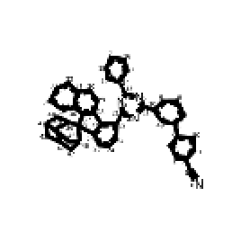 N#Cc1ccc(-c2cccc(-c3nc(-c4ccccc4)nc(-c4cccc5c4-c4ccc6ccccc6c4C54C5CC6CC(C5)CC4C6)n3)c2)cc1